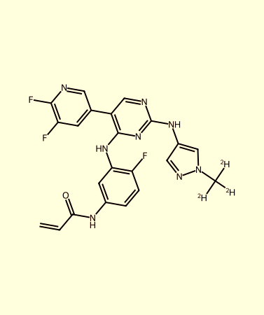 [2H]C([2H])([2H])n1cc(Nc2ncc(-c3cnc(F)c(F)c3)c(Nc3cc(NC(=O)C=C)ccc3F)n2)cn1